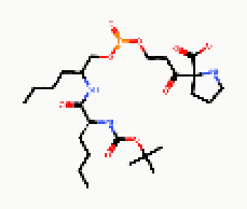 CCCCC(CO[PH](=O)OCCC(=O)[C@]1(C(=O)O)CCCN1)NC(=O)[C@H](CCCC)NC(=O)OC(C)(C)C